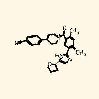 Cc1cc(C)c(-c2ncc([C@@H]3CCCO3)[nH]2)cc1C(=O)N1CCC(c2ccc(C#N)cc2)CC1